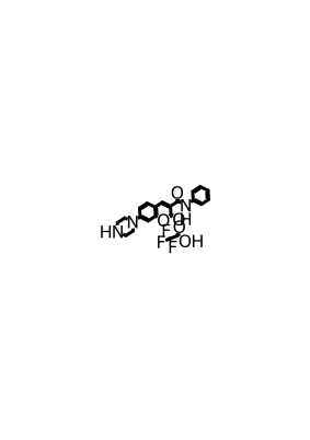 O=C(Nc1ccccc1)c1cc2ccc(N3CCNCC3)cc2oc1=O.O=C(O)C(F)(F)F